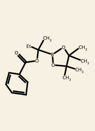 CCC(C)(OC(=O)c1ccccc1)B1OC(C)(C)C(C)(C)O1